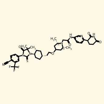 C[C@@H]1CC(OCC[C@H]2CC[C@H](N3C(=S)N(c4ccc(C#N)c(C(F)(F)F)c4)C(=O)C3(C)C)CC2)C[C@H](C)N1CC(=O)Nc1ccc(C2CCC(=O)NC2=O)nc1